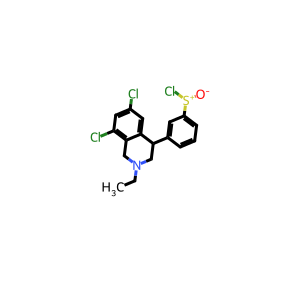 CCN1Cc2c(Cl)cc(Cl)cc2C(c2cccc([S+]([O-])Cl)c2)C1